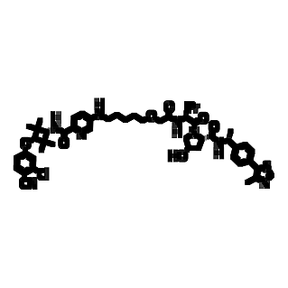 Cc1ncsc1-c1ccc([C@H](C)NC(=O)[C@@H]2C[C@@H](O)CN2C(=O)[C@@H](NC(=O)COCCCCCNc2ccc(C(=O)N[C@H]3C(C)(C)[C@H](Oc4ccc(C#N)c(Cl)c4)C3(C)C)nc2)C(C)C)cc1